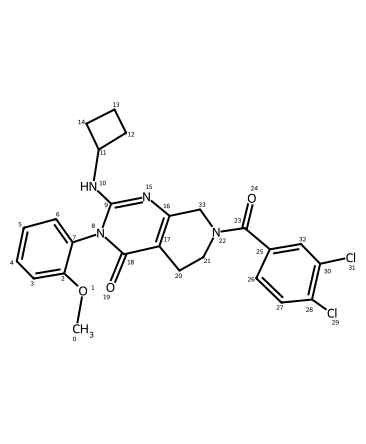 COc1ccccc1-n1c(NC2CCC2)nc2c(c1=O)CCN(C(=O)c1ccc(Cl)c(Cl)c1)C2